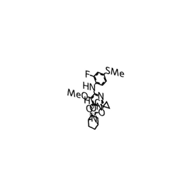 COc1c(Nc2ccc(SC)cc2F)ncnc1O[C@H]1CC2CCC1N2C(=O)OC1(C)CC1